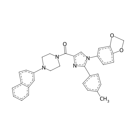 Cc1ccc(-c2nc(C(=O)N3CCN(c4ccc5ccccc5c4)CC3)cn2-c2ccc3c(c2)OCO3)cc1